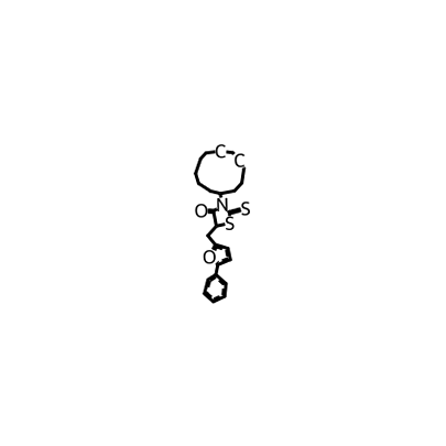 O=C1C(Cc2ccc(-c3ccccc3)o2)SC(=S)N1C1CCCCCCCCCCC1